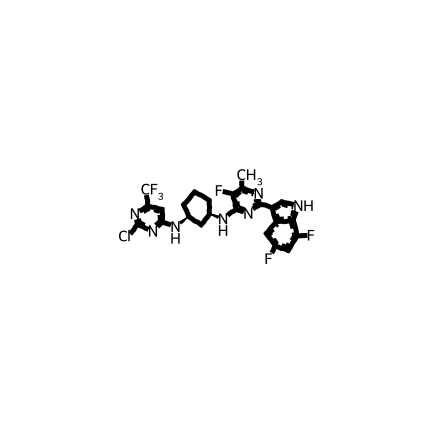 Cc1nc(-c2c[nH]c3c(F)cc(F)cc23)nc(N[C@@H]2CCC[C@H](Nc3cc(C(F)(F)F)nc(Cl)n3)C2)c1F